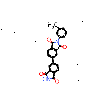 Cc1cccc(N2C(=O)c3ccc(-c4ccc5c(c4)C(=O)NC5=O)cc3C2=O)c1